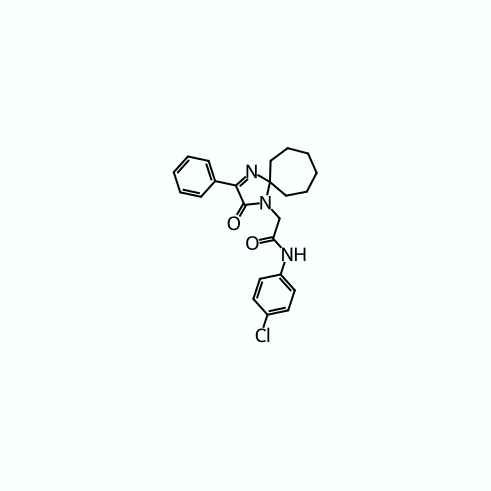 O=C(CN1C(=O)C(c2ccccc2)=NC12CCCCCC2)Nc1ccc(Cl)cc1